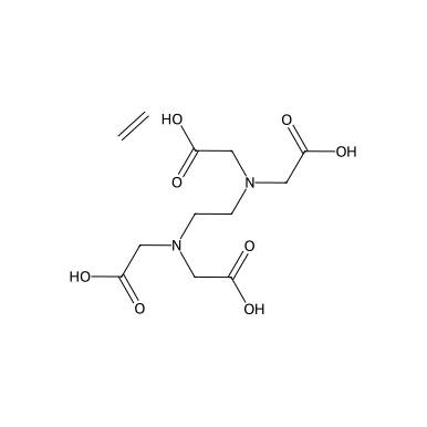 C=C.O=C(O)CN(CCN(CC(=O)O)CC(=O)O)CC(=O)O